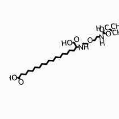 CC(C)(C)OC(=O)NCCOCCNC(CCCCCCCCCCCCCCCCC(=O)O)C(=O)O